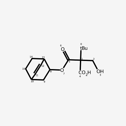 CC(C)(C)C(CO)(C(=O)O)C(=O)OC1CC2C=CC1CC2